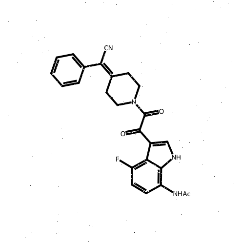 CC(=O)Nc1ccc(F)c2c(C(=O)C(=O)N3CCC(=C(C#N)c4ccccc4)CC3)c[nH]c12